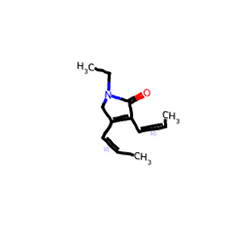 C/C=C\C1=C(/C=C\C)C(=O)N(CC)C1